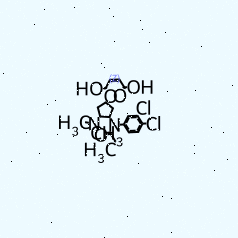 CCC(=O)N(c1ccc(Cl)c(Cl)c1)C1CCCC1N(C)C.O=C(O)/C=C\C(=O)O